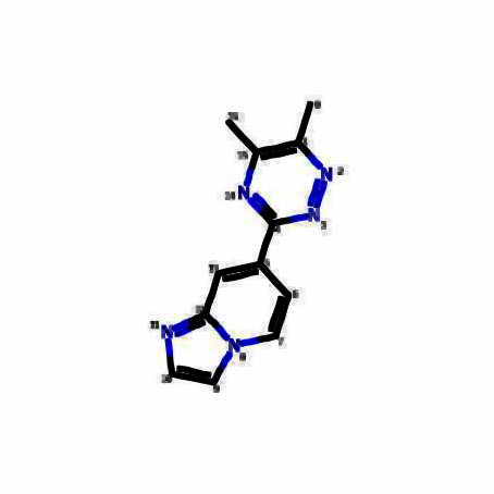 Cc1nnc(-c2ccn3ccnc3c2)nc1C